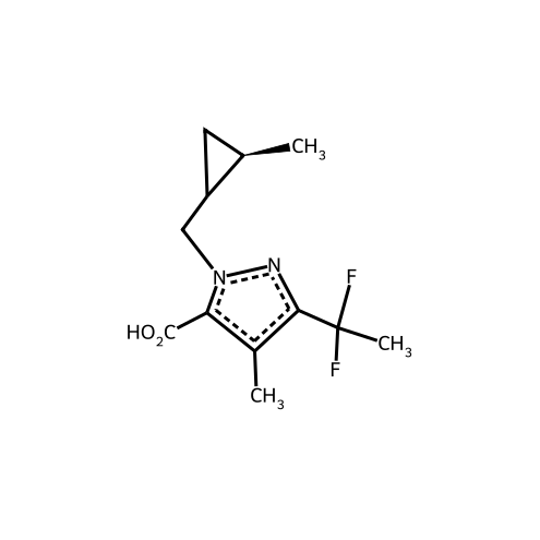 Cc1c(C(C)(F)F)nn(CC2C[C@H]2C)c1C(=O)O